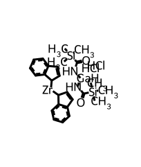 C1=C[CH]([Zr][CH]2C=Cc3ccccc32)c2ccccc21.C[Si](C)(C)C(=O)[NH][GaH][NH]C(=O)[Si](C)(C)C.Cl.Cl